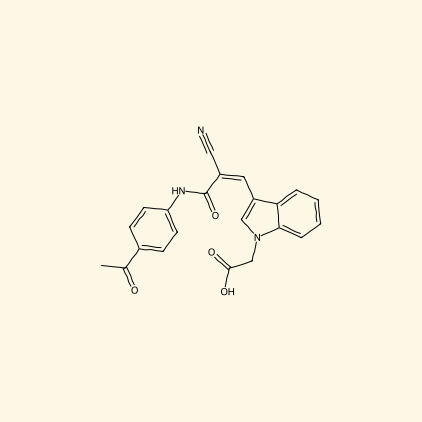 CC(=O)c1ccc(NC(=O)C(C#N)=Cc2cn(CC(=O)O)c3ccccc23)cc1